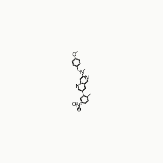 COc1ccc(CN(C)c2cc3ncc(-c4cc([N+](=O)[O-])ccc4C)cc3cn2)cc1